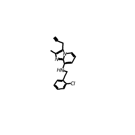 C#CCc1c(C)nc2c(NCc3ccccc3Cl)cccn12